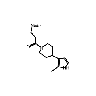 CNCCC(=O)N1CCC(c2cc[nH]c2C)CC1